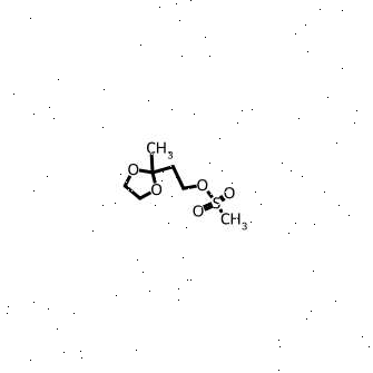 CC1(CCOS(C)(=O)=O)OCCO1